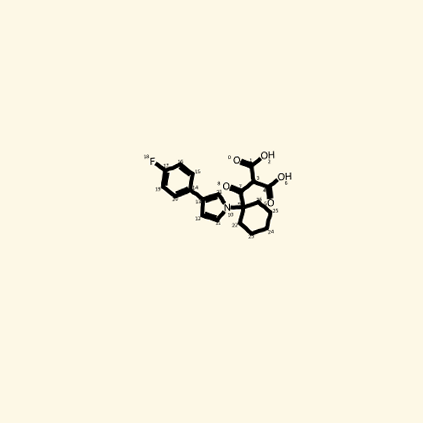 O=C(O)C(C(=O)O)C(=O)C1(n2ccc(-c3ccc(F)cc3)c2)CCCCC1